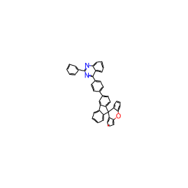 c1ccc(-c2nc(-c3ccc(-c4ccc5c(c4)-c4ccccc4C54c5ccccc5Oc5ccccc54)cc3)c3ccccc3n2)cc1